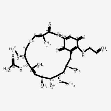 C=CCNC1=C2C[C@@H](C)C[C@H](OC)[C@H](O)[C@@H](C)/C=C(\C)[C@H](OC(N)=O)[C@@H](OC)CC/C=C(\C)C(=O)NC(=CC1=O)C2=O